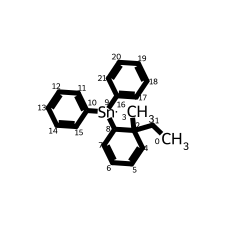 CCC1(C)C=CC=C[CH]1[Sn]([c]1ccccc1)[c]1ccccc1